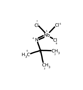 CC(C)(C)[N]=[Nb]([Cl])([Cl])[Cl]